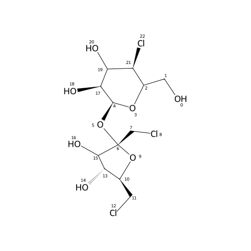 OCC1O[C@@H](O[C@]2(CCl)O[C@@H](CCl)[C@H](O)C2O)[C@@H](O)C(O)[C@H]1Cl